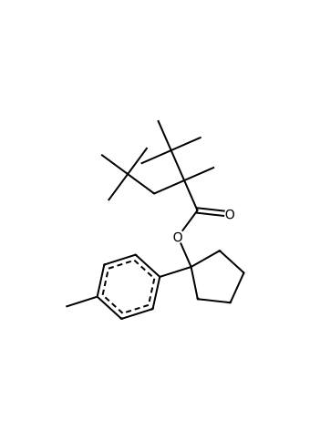 Cc1ccc(C2(OC(=O)C(C)(CC(C)(C)C)C(C)(C)C)CCCC2)cc1